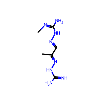 C/N=C(/N)N/N=C/C(C)=N/NC(=N)N